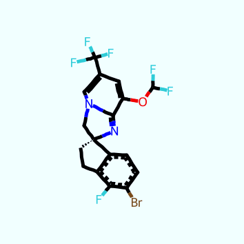 Fc1c(Br)ccc2c1CC[C@@]21CN2C=C(C(F)(F)F)C=C(OC(F)F)C2=N1